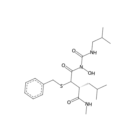 CNC(=O)[C@@H](CC(C)C)C(SCc1ccccc1)C(=O)N(O)C(=O)NCC(C)C